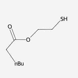 CCCCCC(=O)OCCS